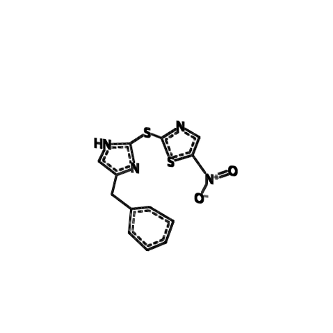 O=[N+]([O-])c1cnc(Sc2nc(Cc3ccccc3)c[nH]2)s1